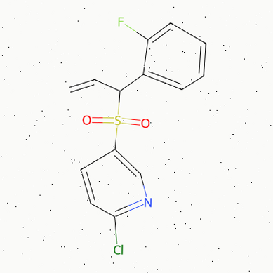 C=CC(c1ccccc1F)S(=O)(=O)c1ccc(Cl)nc1